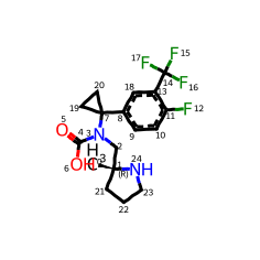 C[C@]1(CN(C(=O)O)C2(c3ccc(F)c(C(F)(F)F)c3)CC2)CCCN1